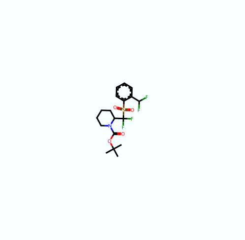 CC(C)(C)OC(=O)N1CCCCC1C(F)(F)S(=O)(=O)c1ccccc1C(F)F